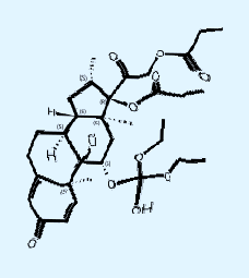 CCOC(O)(OCC)O[C@H]1C[C@@]2(C)[C@@H](C[C@H](C)[C@]2(OC(=O)CC)C(=O)COC(=O)CC)[C@@H]2CCC3=CC(=O)C=C[C@]3(C)C12Cl